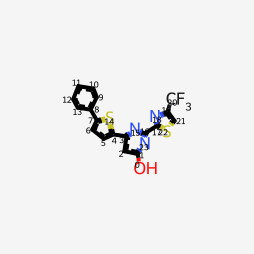 Oc1cc(-c2ccc(-c3ccccc3)s2)nc(-c2nc(C(F)(F)F)cs2)n1